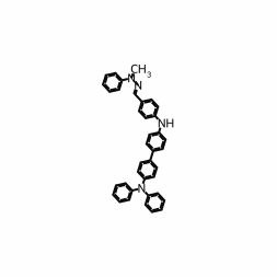 CN(N=Cc1ccc(Nc2ccc(-c3ccc(N(c4ccccc4)c4ccccc4)cc3)cc2)cc1)c1ccccc1